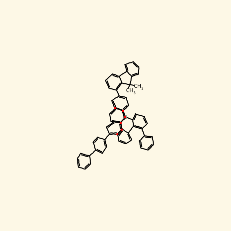 CC1(C)c2ccccc2-c2cccc(-c3ccc(N(c4ccc(-c5ccc(-c6ccccc6)cc5)cc4)c4cccc(-c5ccccc5)c4-c4ccccc4-c4ccccc4)cc3)c21